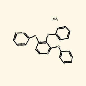 [AlH3].c1ccc(Oc2ccnc(Oc3ccccc3)c2Oc2ccccc2)cc1